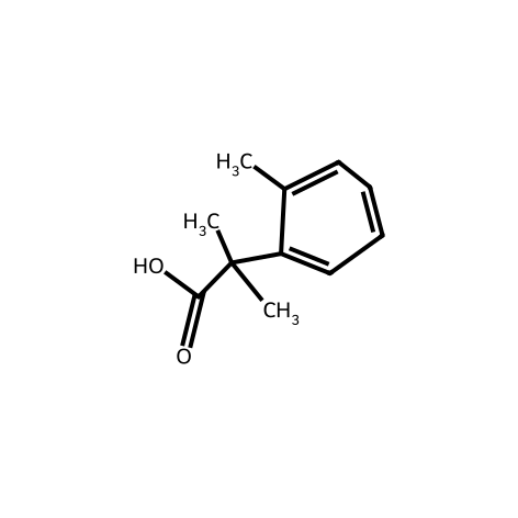 Cc1ccccc1C(C)(C)C(=O)O